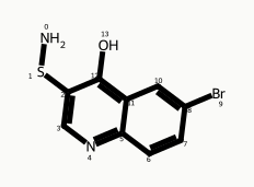 NSc1cnc2ccc(Br)cc2c1O